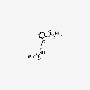 CC(C)(C)OC(=O)NCCCOc1ccccc1CC(=O)NN